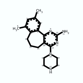 Cc1cc(C)c2c(c1)-c1nc(N)nc(N3CCNCC3)c1CCC2